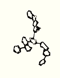 c1ccc(-c2ccc3ccc(-c4nc(-c5ccc6cc7oc8ccccc8c7cc6c5)nc(-c5cccc6c(-c7ccccc7)cccc56)n4)cc3c2)cc1